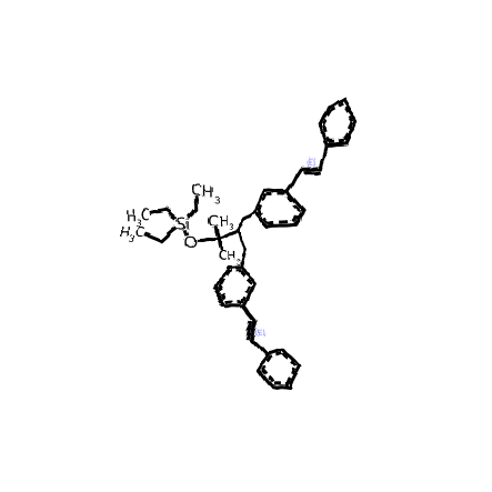 CC[Si](CC)(CC)OC(C)(C)C(Cc1cccc(/C=C/c2ccccc2)c1)Cc1cccc(/C=C/c2ccccc2)c1